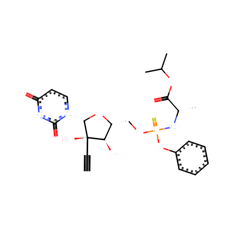 C#C[C@@]1(O)[C@H](O)[C@@H](COP(=S)(N[C@@H](C)C(=O)OC(C)C)Oc2ccccc2)O[C@H]1n1ccc(=O)[nH]c1=O